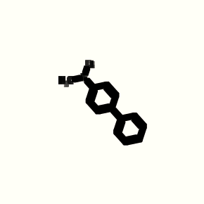 CCN(C)c1ccc(-c2ccccc2)cc1